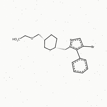 O=C(O)COC[C@H]1CC[C@@H](Cn2ncc(Br)c2-c2ccccc2)CC1